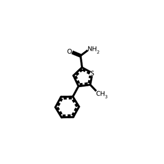 Cc1sc(C(N)=O)cc1-c1ccccc1